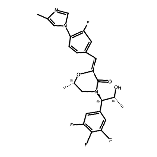 Cc1cn(-c2ccc(C=C3O[C@@H](C)CN([C@H](c4cc(F)c(F)c(F)c4)[C@@H](C)O)C3=O)cc2F)cn1